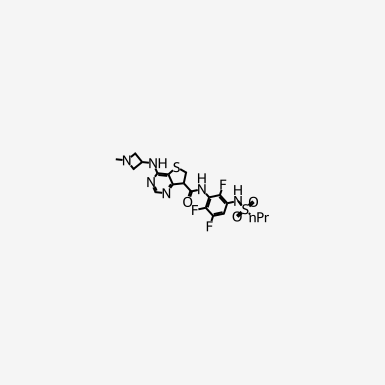 CCCS(=O)(=O)Nc1cc(F)c(F)c(NC(=O)C2CSc3c(NC4CN(C)C4)ncnc32)c1F